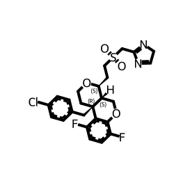 O=S(=O)(CC[C@@H]1OCC[C@@]2(Cc3ccc(Cl)cc3)c3c(F)ccc(F)c3OC[C@@H]12)CC1=NCC=N1